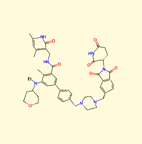 CCN(c1cc(-c2ccc(CN3CCN(Cc4ccc5c(c4)C(=O)N(C4CCC(=O)NC4=O)C5=O)CC3)cc2)cc(C(=O)NCc2c(C)cc(C)[nH]c2=O)c1C)C1CCOCC1